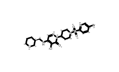 O=c1c(Cl)c(NC[C@@H]2CCCOC2)cnn1C1CCN(S(=O)(=O)c2ccc(Br)cn2)CC1